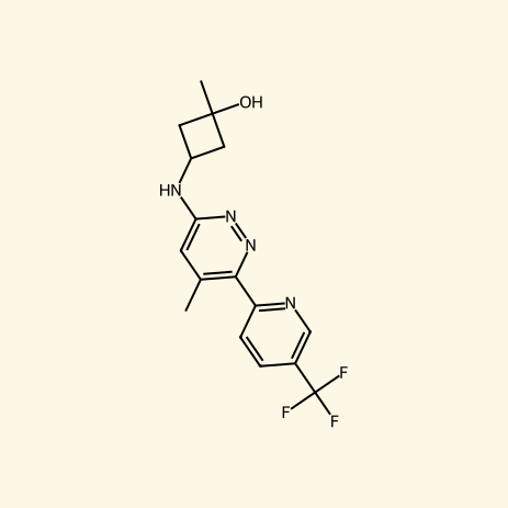 Cc1cc(NC2CC(C)(O)C2)nnc1-c1ccc(C(F)(F)F)cn1